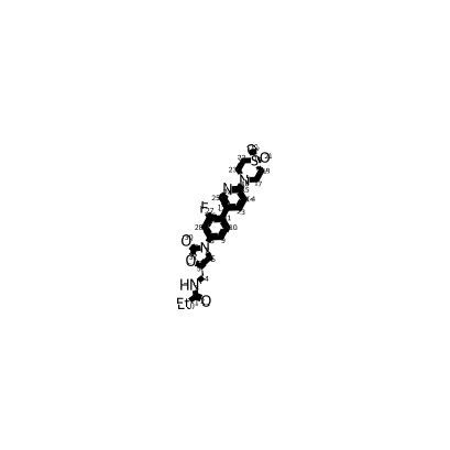 CCC(=O)NC[C@H]1CN(c2ccc(-c3ccc(N4CCS(=O)(=O)CC4)nc3)c(F)c2)C(=O)O1